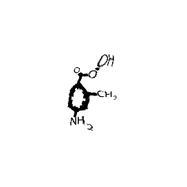 Cc1cc(N)ccc1C(=O)OO